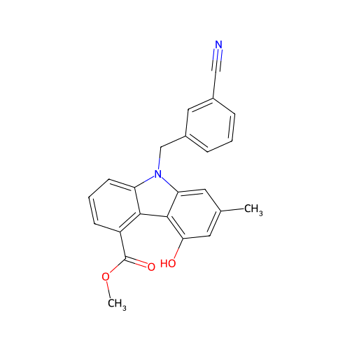 COC(=O)c1cccc2c1c1c(O)cc(C)cc1n2Cc1cccc(C#N)c1